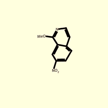 COc1nccc2ccc([N+](=O)[O-])cc12